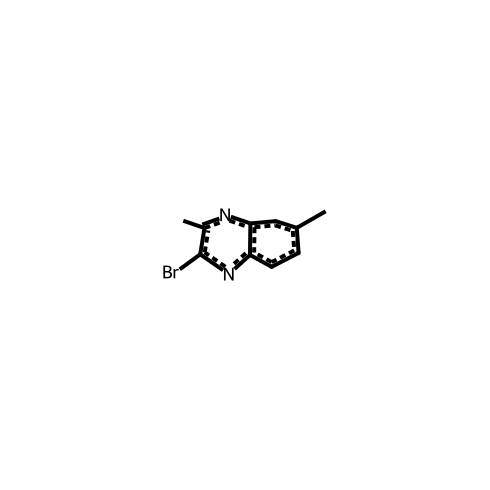 Cc1ccc2nc(Br)c(C)nc2c1